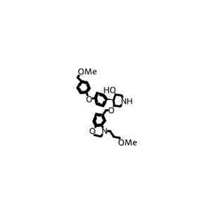 COCCCN1CCOc2ccc(CO[C@H]3CNC[C@@H](O)[C@@H]3c3ccc(Oc4ccc(COC)cc4)cc3)cc21